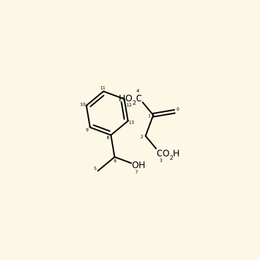 C=C(CC(=O)O)C(=O)O.CC(O)c1ccccc1